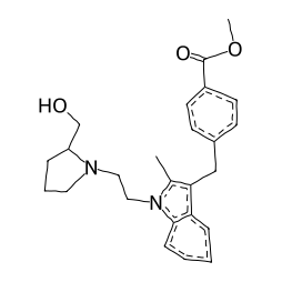 COC(=O)c1ccc(Cc2c(C)n(CCN3CCCC3CO)c3ccccc23)cc1